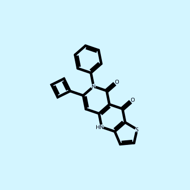 O=c1c2sccc2[nH]c2cc(C3=CC=C3)n(-c3ccccc3)c(=O)c12